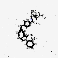 C=NN(C)/C=C(\C)c1ccc(Cc2ccc3c(c2)C(=O)N([C@H]2CCCC[C@@H]2O)C3)cn1